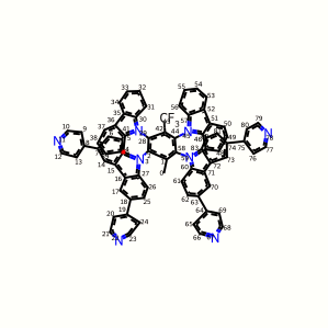 Cc1c(-n2c3ccc(-c4ccncc4)cc3c3cc(-c4ccncc4)ccc32)c(-n2c3ccccc3c3ccccc32)c(C(F)(F)F)c(-n2c3ccccc3c3ccccc32)c1-n1c2ccc(-c3ccncc3)cc2c2cc(-c3ccncc3)ccc21